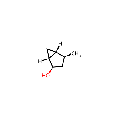 C[C@H]1C[C@@H](O)[C@@H]2C[C@@H]21